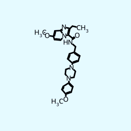 CCc1nc2cc(OC)ccn2c1C(=O)NCc1ccc(N2CCN(c3ccc(OC)cc3)CC2)cc1